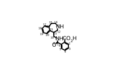 O=C(O)c1ccccc1C(=O)NCC1CNCCc2ccccc21